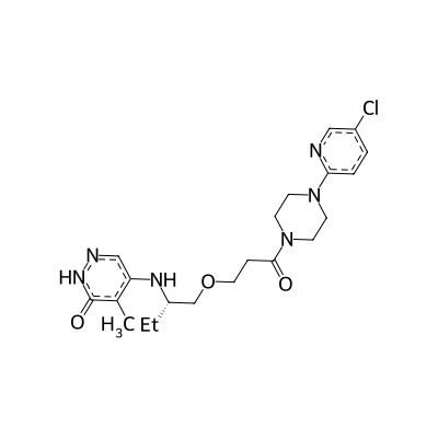 CC[C@@H](COCCC(=O)N1CCN(c2ccc(Cl)cn2)CC1)Nc1cn[nH]c(=O)c1C